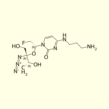 C[C@@H](O)[C@](CO)(N=[N+]=[N-])O[C@H](CF)n1ccc(NCCCN)nc1=O